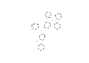 CC1(C)c2ccccc2-c2ccc(N(c3cccc(Cl)c3)c3ccc4c(c3)-c3ccccc3C4(c3ccccc3)c3ccccc3)cc21